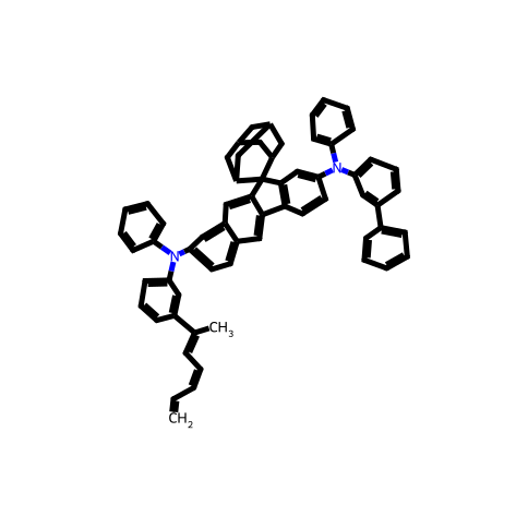 C=C/C=C\C=C(/C)c1cccc(N(c2ccccc2)c2ccc3cc4c(cc3c2)C2(c3cc(N(c5ccccc5)c5cccc(-c6ccccc6)c5)ccc3-4)C3CC4CC(C3)CC2C4)c1